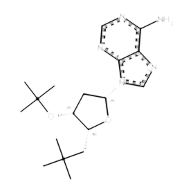 CC(C)(C)C[C@H]1O[C@@H](n2cnc3c(N)ncnc32)C[C@H]1OC(C)(C)C